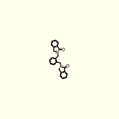 O=C1c2ccccc2CN1Cc1ccccc1CN1Cc2ccccc2C1=O